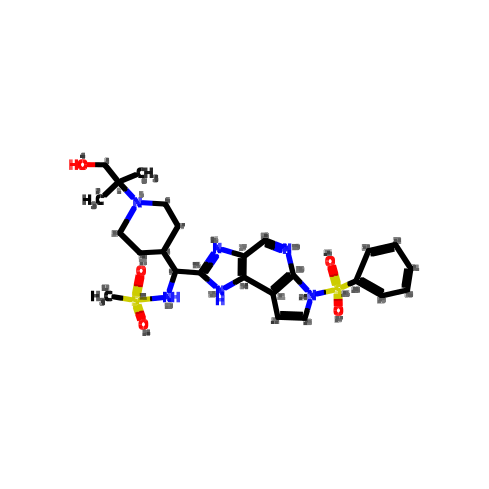 CC(C)(CO)N1CCC(C(NS(C)(=O)=O)c2nc3cnc4c(ccn4S(=O)(=O)c4ccccc4)c3[nH]2)CC1